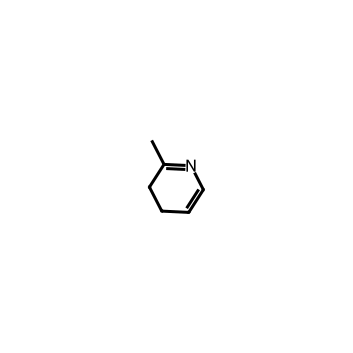 CC1=NC=CCC1